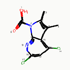 Cc1c(C)n(C(=O)O)c2nc(Cl)cc(Cl)c12